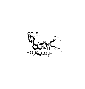 C=CCN(CC=C)C1=NC2=NC3=C(CCC3N3CCN(C(=O)OCC)CC3)CN2N1.O=C(O)/C=C\C(=O)O